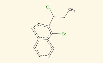 CCC(Cl)c1ccc2ccccc2c1Br